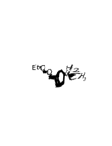 CCOCOCC1CC2CC([SiH2]C)CC1C2